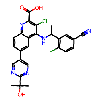 CC(Nc1c(Cl)c(C(=O)O)nc2ccc(-c3cnc(C(C)(C)O)nc3)cc12)c1cc(C#N)ccc1F